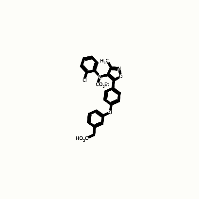 CCOC(=O)N(c1ccccc1Cl)c1c(C)noc1-c1ccc(Oc2cccc(CC(=O)O)c2)cc1